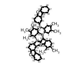 Cc1cc2c(cc1C)N(c1ccc3oc4ccccc4c3c1)c1c(C)c(C)c(C)c3c1B2c1c2ccc(C)c(C)c2n2c4c5c(ccc4n-3c12)oc1ccccc15